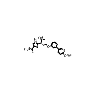 COc1ccc(-c2cccc(OCC[C@H](c3nc(C(N)=O)c[nH]3)[C@H](C)O)c2)cn1